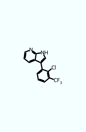 FC(F)(F)c1cccc(-c2c[nH]c3ncccc23)c1Cl